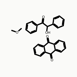 COC.O=C(c1ccccc1)C(O)c1ccccc1.O=C1c2ccccc2C(=O)c2ccccc21